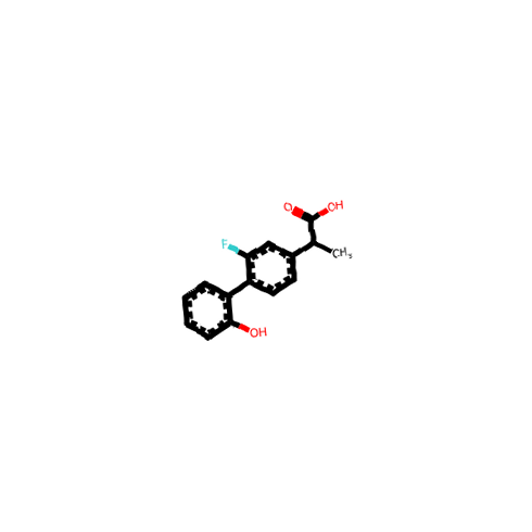 CC(C(=O)O)c1ccc(-c2ccccc2O)c(F)c1